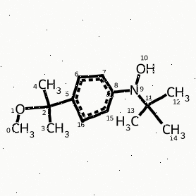 COC(C)(C)c1ccc(N(O)C(C)(C)C)cc1